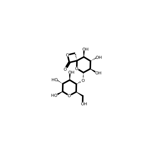 O=C1OC[C@]12O[C@@H](O[C@H]1[C@H](O)[C@@H](O)[C@H](O)O[C@@H]1CO)[C@H](O)[C@@H](O)[C@@H]2O